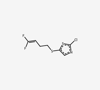 FC(F)=CCCSc1cnc(Cl)s1